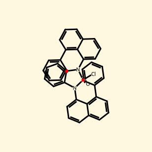 O=P1(Cl)N(c2cccc3cccc(-c4ccccc4)c23)c2ccccc2N1c1cccc2cccc(-c3ccccc3)c12